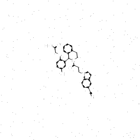 N#Cc1ccc2c(ccn2CCC(=O)N2CCc3ccccc3C2c2cc(Cl)ccc2OCC(=O)O)c1